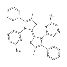 CC1=C(c2ccccc2)N(c2cncc(C(C)(C)C)n2)/C(=C2\SC(C)=C(c3ccccc3)N2c2cncc(C(C)(C)C)n2)S1